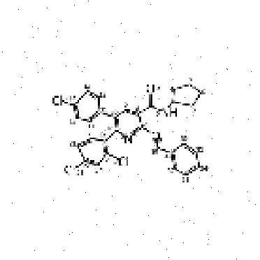 O=C(NC1CCCC1)c1cc(-c2ccc(Cl)cc2)c(-c2ccc(Cl)cc2Cl)nc1OCc1ccccc1